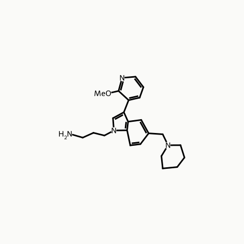 COc1ncccc1-c1cn(CCCN)c2ccc(CN3CCCCC3)cc12